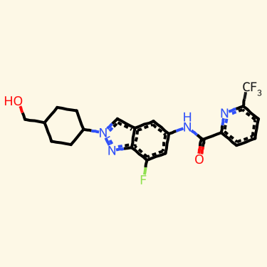 O=C(Nc1cc(F)c2nn(C3CCC(CO)CC3)cc2c1)c1cccc(C(F)(F)F)n1